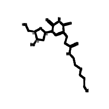 O=C(CCc1cn([C@H]2C[C@H](O)[C@@H](CO)O2)c(=O)[nH]c1=O)NCCOCCCCl